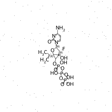 C=C(C)[C@]12O[C@@H](n3ccc(N)nc3=O)[C@H](F)[C@@]1(O)C2OP(=O)(O)OP(=O)(O)OP(=O)(O)O